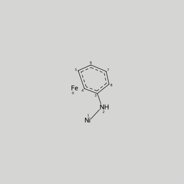 [Fe].[Ni][NH]c1ccccc1